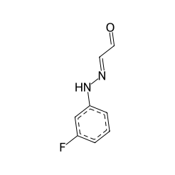 O=CC=NNc1cccc(F)c1